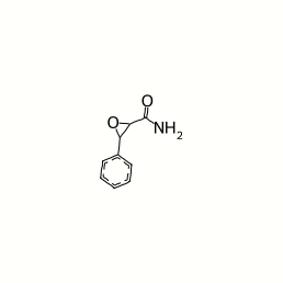 NC(=O)C1OC1c1ccccc1